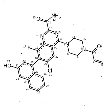 C=CC(=O)N1CCN(c2nc(C(N)=O)nc3c(F)c(-c4cc(O)cc5ccccc45)c(Cl)cc23)CC1